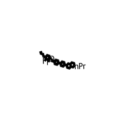 C=CCCc1ccc(OCc2ccc(-c3ccc(C4CCC5CC(CCC)CCC5C4)cc3)cc2)c(F)c1F